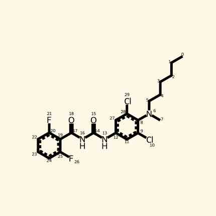 CCCCCCN(C)c1c(Cl)cc(NC(=O)NC(=O)c2c(F)cccc2F)cc1Cl